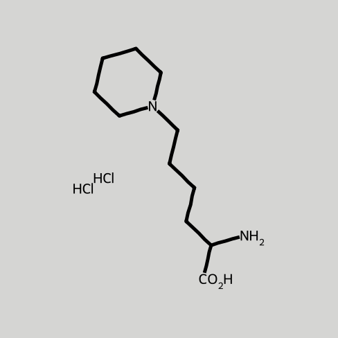 Cl.Cl.NC(CCCCN1CCCCC1)C(=O)O